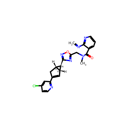 C=Nc1ncccc1C(=O)N(C)Cc1nc([C@H]2[C@@H]3C=C(c4cc(Cl)ccn4)C[C@@H]32)no1